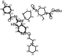 C[C@H]1CN(C(=O)[C@H]2CC[C@@H](n3/c(=N/C(=O)c4ccc(F)cc4)[nH]c4cnc(OCCN5CCCCC5)cc43)CC2)CCN1C(=O)OC(C)(C)C